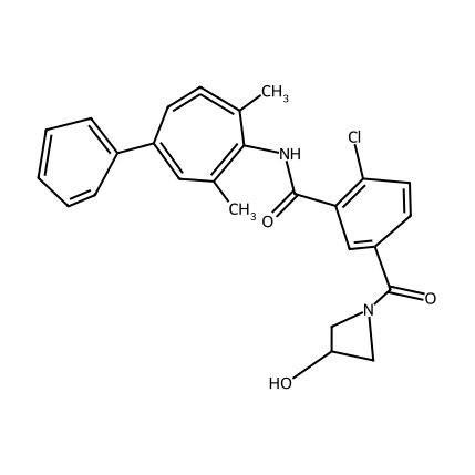 CC1=C=CC(c2ccccc2)=CC(C)=C1NC(=O)c1cc(C(=O)N2CC(O)C2)ccc1Cl